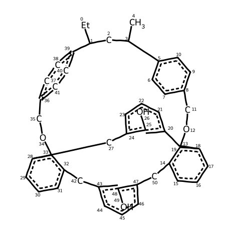 CCC1CC(C)c2ccc(cc2)COc2c3cccc2Cc2cccc(c2O)Cc2cccc(c2OCc2ccc1cc2)Cc1cccc(c1O)C3